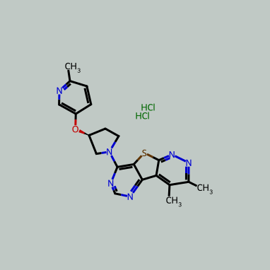 Cc1ccc(O[C@H]2CCN(c3ncnc4c3sc3nnc(C)c(C)c34)C2)cn1.Cl.Cl